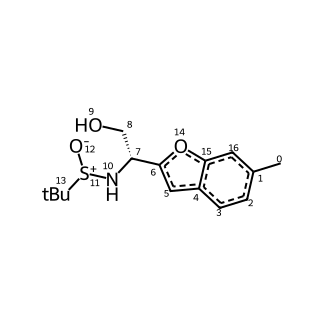 Cc1ccc2cc([C@@H](CO)N[S+]([O-])C(C)(C)C)oc2c1